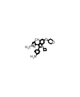 Cc1cn(C)nc1-c1c(-c2ccc(N)cc2)n(C2CCC2)c2cc(OC3CCOCC3)ccc12